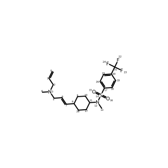 C=CCN(C)CC=CC1CCC(N(C)S(=O)(=O)c2ccc(C(F)(F)F)cc2)CC1